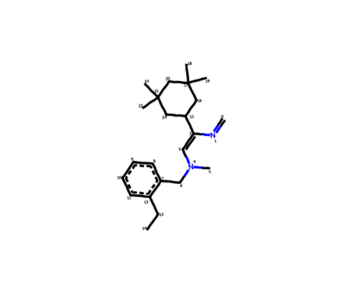 C=N/C(=C\N(C)Cc1ccccc1CC)C1CC(C)(C)CC(C)(C)C1